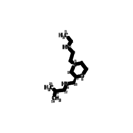 CCNCCN1CCO[C@@H](CNCC(C)C)C1